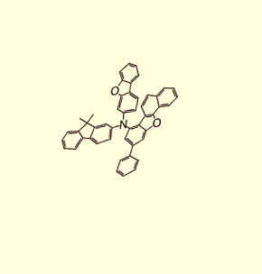 CC1(C)c2ccccc2-c2ccc(N(c3ccc4c(c3)oc3ccccc34)c3cc(-c4ccccc4)cc4oc5c6ccccc6ccc5c34)cc21